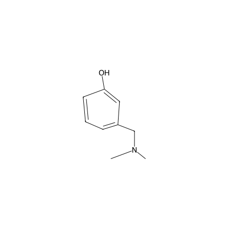 CN(C)Cc1cccc(O)c1